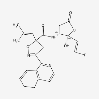 CC(C)=CC1(C(=O)N[C@@H]2CC(=O)O[C@@]2(O)C=CF)CC(c2nccc3c2C=CCC3)=NO1